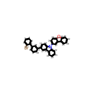 Brc1ccccc1-c1cccc(-c2ccc3c(c2)c2ccccc2n3-c2ccc3oc4ccccc4c3c2)c1